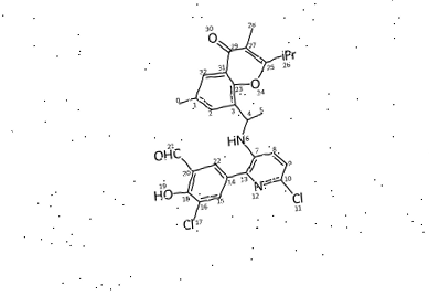 Cc1cc(C(C)Nc2ccc(Cl)nc2-c2cc(Cl)c(O)c(C=O)c2)c2oc(C(C)C)c(C)c(=O)c2c1